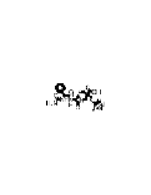 Cn1nnnc1SCC1(C(=O)O)CS[C@@H]2C(NC(=O)C(NC(N)=O)c3ccccc3)C(=O)N2C1